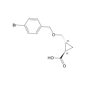 O=C(O)[C@@H]1C[C@H]1COCc1ccc(Br)cc1